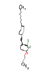 CCCCCCCC1CCC(C#Cc2ccc(OCCCC)c(F)c2F)CC1